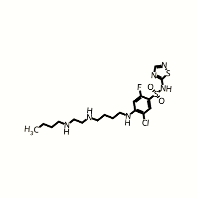 CCCCNCCNCCCCNc1cc(F)c(S(=O)(=O)Nc2ncns2)cc1Cl